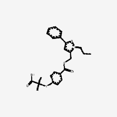 CCCn1nc(-c2ccccc2)cc1COC(=O)c1ccc(SC(C)(C)C(=O)O)cc1